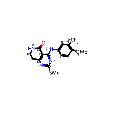 COc1ccc(Nc2nc(SC)nc3c2C(=O)NCC3)cc1C(F)(F)F